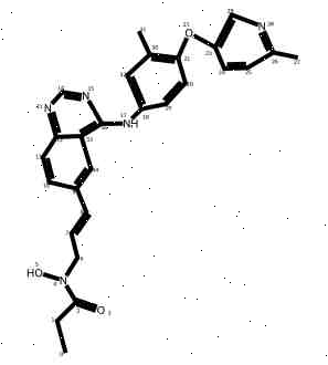 CCC(=O)N(O)CC=Cc1ccc2ncnc(Nc3ccc(Oc4ccc(C)nc4)c(C)c3)c2c1